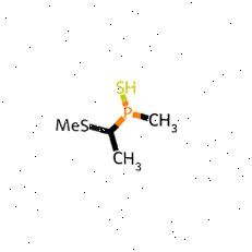 CSC(C)P(C)S